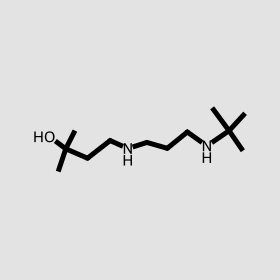 CC(C)(O)CCNCCCNC(C)(C)C